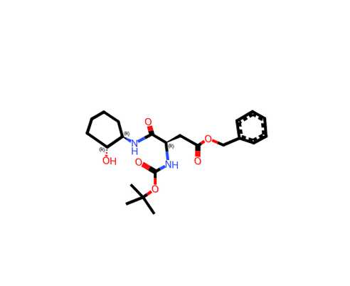 CC(C)(C)OC(=O)N[C@H](CC(=O)OCc1ccccc1)C(=O)N[C@@H]1CCCC[C@H]1O